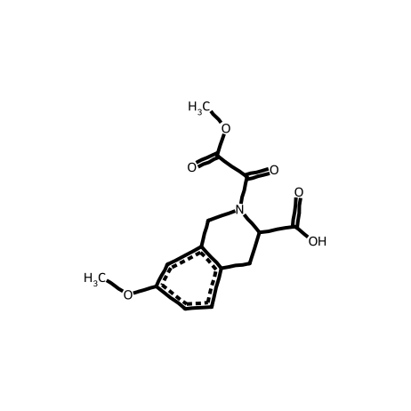 COC(=O)C(=O)N1Cc2cc(OC)ccc2CC1C(=O)O